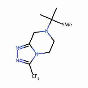 CSC(C)(C)N1CCn2c(nnc2C(F)(F)F)C1